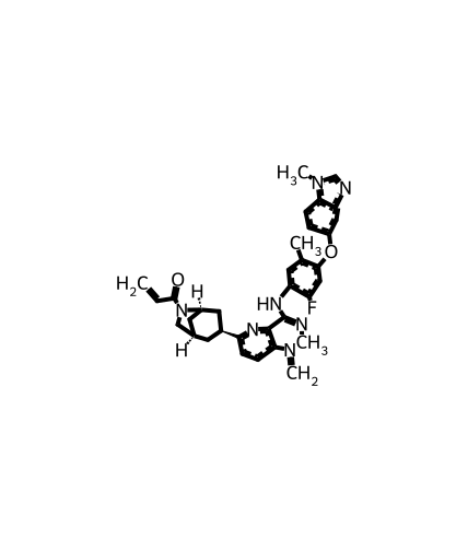 C=CC(=O)N1C[C@@H]2C[C@H](c3ccc(N=C)c(/C(=N\C)Nc4cc(C)c(Oc5ccc6c(c5)ncn6C)cc4F)n3)C[C@H]1C2